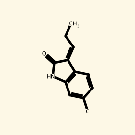 CCC=C1C(=O)Nc2cc(Cl)ccc21